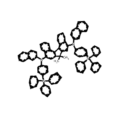 CC1(C)c2cc(N(c3ccc([Si](c4ccccc4)(c4ccccc4)c4ccccc4)cc3)c3ccc4ccccc4c3)c3ccccc3c2-c2c1cc(N(c1ccc([Si](c3ccccc3)(c3ccccc3)c3ccccc3)cc1)c1ccc3ccccc3c1)c1ccccc21